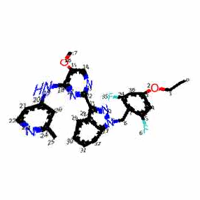 CCOc1cc(F)c(Cn2nc(-c3ncc(OC)c(Nc4ccnc(C)c4)n3)c3ccccc32)c(F)c1